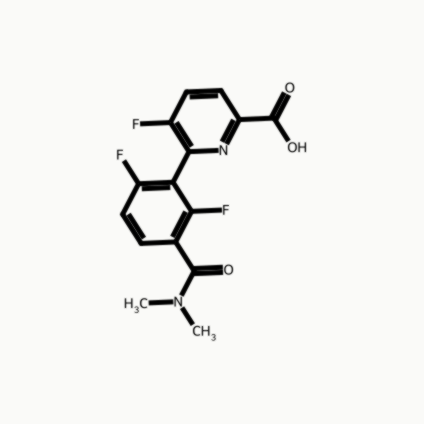 CN(C)C(=O)c1ccc(F)c(-c2nc(C(=O)O)ccc2F)c1F